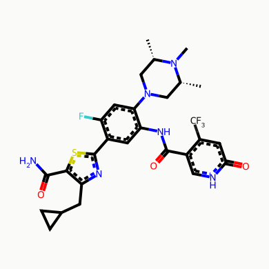 C[C@@H]1CN(c2cc(F)c(-c3nc(CC4CC4)c(C(N)=O)s3)cc2NC(=O)c2c[nH]c(=O)cc2C(F)(F)F)C[C@H](C)N1C